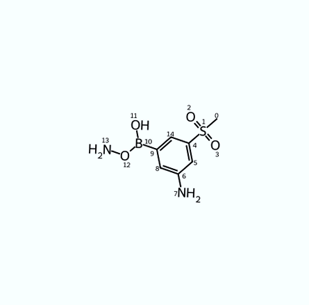 CS(=O)(=O)c1cc(N)cc(B(O)ON)c1